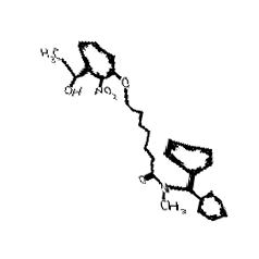 CC(O)c1cccc(OCCCCCCC(=O)N(C)C(c2ccccc2)c2ccccc2)c1[N+](=O)[O-]